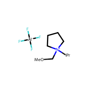 COC[N+]1(C(C)C)CCCC1.[F][Al-]([F])([F])[F]